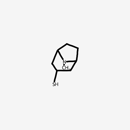 CN1C2CCC1CC(S)C2